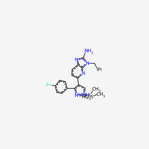 CC(C)Cn1c(N)nc2ccc(-c3c[nH]nc3-c3ccc(F)cc3)nc21.CS(=O)(=O)O.CS(=O)(=O)O